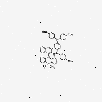 CC(C)(C)c1ccc(N2B3c4cccc5c4N(c4ccccc4C5(C)C)c4c3c(cc3ccccc43)-c3cc(N(c4ccc(C(C)(C)C)cc4)c4ccc(C(C)(C)C)cc4)ccc32)cc1